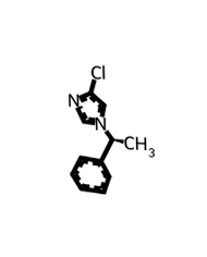 C[C@@H](c1ccccc1)n1cnc(Cl)c1